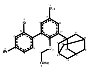 COCOc1c(-c2ccc(C(C)C)cc2Br)cc(C(C)(C)C)cc1C12CC3CC(CC(C3)C1)C2